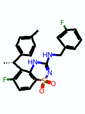 Cc1ccc([C@@H](C)c2c(F)ccc3c2NC(NCc2cccc(F)c2)=NS3(=O)=O)cc1